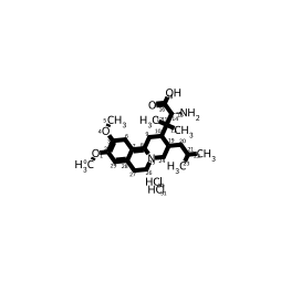 COC1=C(OC)CC2=C3CC(C(C)(C)[C@@H](N)C(=O)O)C(CC(C)C)CN3CCC2=C1.Cl.Cl